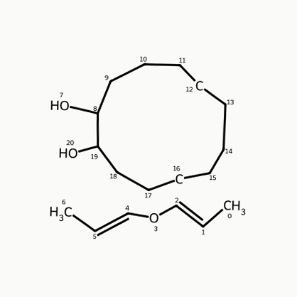 CC=COC=CC.OC1CCCCCCCCCCC1O